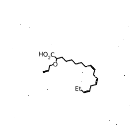 C=CCOC(CCCCCC/C=C\C/C=C\C/C=C\CC)C(=O)O